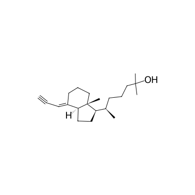 C#C/C=C1\CCC[C@]2(C)[C@@H]([C@H](C)CCCC(C)(C)O)CC[C@@H]12